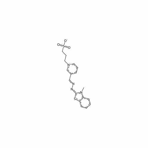 Cn1c(=NN=Cc2ccc[n+](CCCS(=O)(=O)[O-])c2)sc2ccccc21